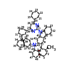 Cc1ccccc1-c1cc2c3ccccc3n(-c3nc(-c4ccccc4)cc(-c4cccc(-c5ccccc5)c4)n3)c2cc1N(c1ccccc1)c1ccccc1